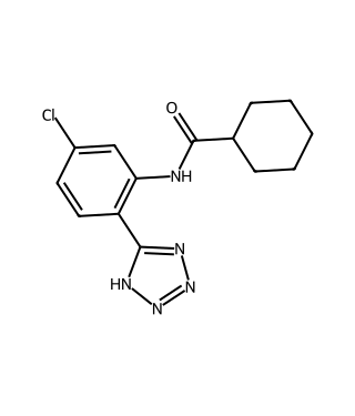 O=C(Nc1cc(Cl)ccc1-c1nnn[nH]1)C1CCCCC1